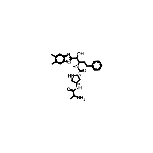 Cc1cc2nc(C(O)C(CCc3ccccc3)NC(=O)[C@@H]3C[C@@H](NC(=O)C(C)N)CN3)oc2cc1C